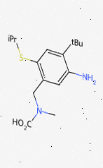 CC(C)Sc1cc(C(C)(C)C)c(N)cc1CN(C)C(=O)O